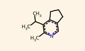 Cc1ncc2c(c1C(C)C)CCC2